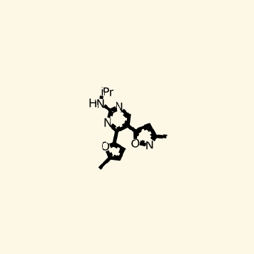 Cc1cc(-c2cnc(NC(C)C)nc2-c2ccc(C)o2)on1